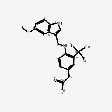 COc1ccc2[nH]cc(CNc3ccc(CC(=O)O)cc3C(F)(F)F)c2c1